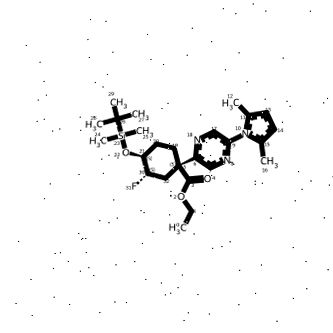 CCOC(=O)[C@@]1(c2cnc(-n3c(C)ccc3C)cn2)CC[C@H](O[Si](C)(C)C(C)(C)C)[C@@H](F)C1